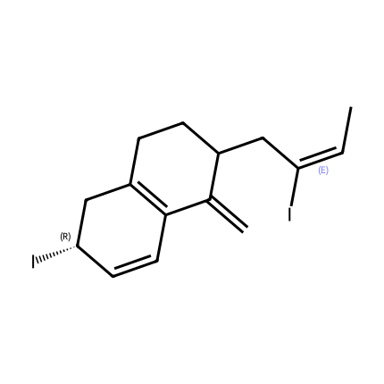 C=C1C2=C(CCC1C/C(I)=C\C)C[C@@H](I)C=C2